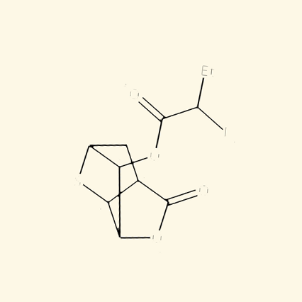 CCC(I)C(=O)OC1C2CC3C(=O)OC1C3S2